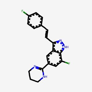 Fc1ccc(C=Cc2n[nH]c3c(F)cc(C4=NCCCN4)cc23)cc1